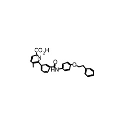 Cc1ccc(C(=O)O)nc1-c1cccc(C(=O)Nc2ccc(OCCc3ccccc3)cc2)c1